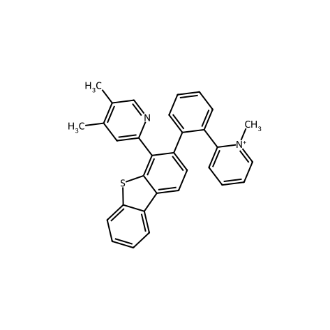 Cc1cnc(-c2c(-c3ccccc3-c3cccc[n+]3C)ccc3c2sc2ccccc23)cc1C